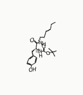 CCCCCCNC(=O)[C@H](Cc1ccc(O)cc1)NC(=O)OC(C)(C)C